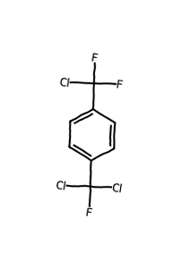 FC(F)(Cl)c1ccc(C(F)(Cl)Cl)cc1